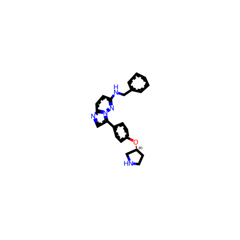 c1ccc(CNc2ccc3ncc(-c4ccc(O[C@@H]5CCNC5)cc4)n3n2)cc1